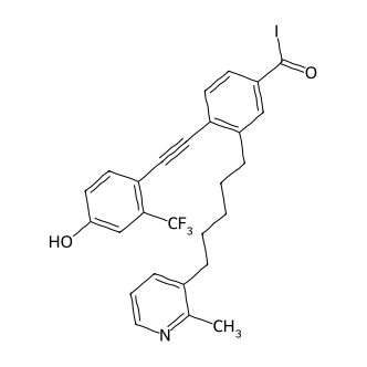 Cc1ncccc1CCCCCc1cc(C(=O)I)ccc1C#Cc1ccc(O)cc1C(F)(F)F